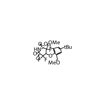 COCc1cc(C(C)(C)C)cc(COC)c1OC1C(F)(F)S(=O)(=O)NS(=O)(=O)C1(F)F